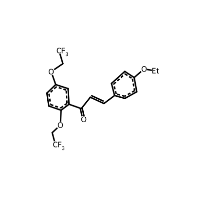 CCOc1ccc(C=CC(=O)c2cc(OCC(F)(F)F)ccc2OCC(F)(F)F)cc1